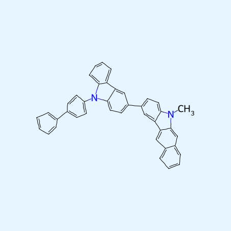 Cn1c2ccc(-c3ccc4c(c3)c3ccccc3n4-c3ccc(-c4ccccc4)cc3)cc2c2cc3ccccc3cc21